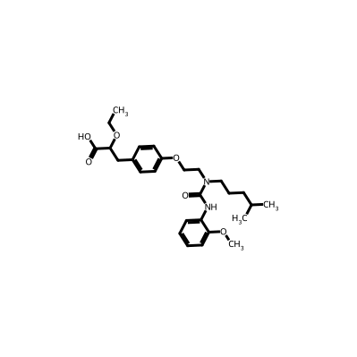 CCOC(Cc1ccc(OCCN(CCCC(C)C)C(=O)Nc2ccccc2OC)cc1)C(=O)O